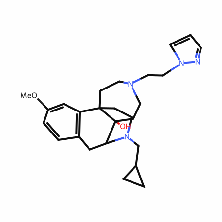 COc1ccc2c(c1)C13CCN(CCn4cccn4)CCC1(O)C(C2)N(CC1CC1)CC3